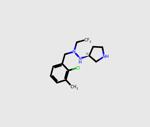 Cc1cccc(CN(CC(F)(F)F)N[C@H]2CCNC2)c1Cl